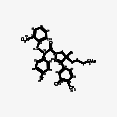 CSCCCC1(C)CN(C(=O)N(Sc2ccccc2[N+](=O)[O-])c2ccc(Br)cc2)N=C1c1ccc(C(F)(F)F)c(Cl)c1